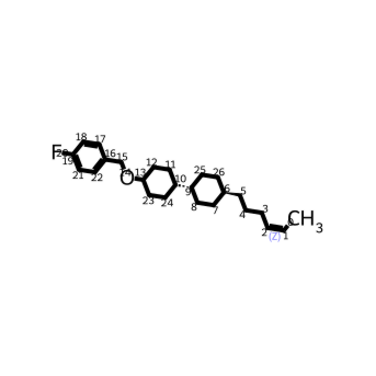 C/C=C\CCC[C@H]1CC[C@H](C2CCC(OCc3ccc(F)cc3)CC2)CC1